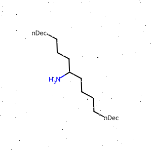 CCCCCCCCCCCCCCC(N)CCCCCCCCCCCCC